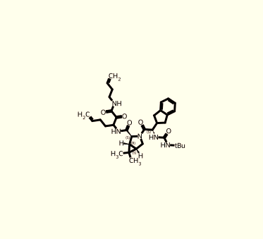 C=CCCNC(=O)C(=O)C(CCC=C)NC(=O)[C@@H]1[C@@H]2[C@H](CN1C(=O)[C@@H](NC(=O)NC(C)(C)C)C1Cc3ccccc3C1)C2(C)C